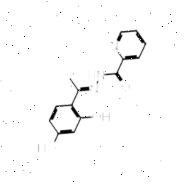 C/C(=N\NC(=O)c1ccccn1)c1ccc(O)cc1O